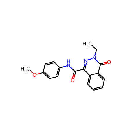 CCn1nc(C(=O)Nc2ccc(OC)cc2)c2ccccc2c1=O